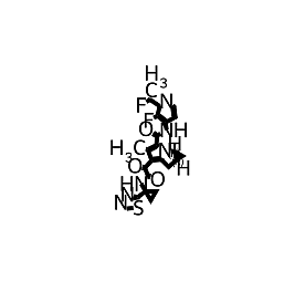 Cc1c(C(=O)C(=O)NC2(c3nncs3)CC2)c2n(c1C(=O)Nc1ccnc(C(C)F)c1F)[C@@H]1C[C@@H]1C2